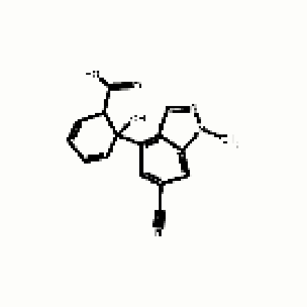 Cn1ncc2c(C3(O)C=CC=CC3C(=O)O)cc(C#N)cc21